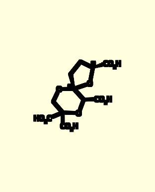 O=C(O)C1OC(C(=O)O)(C(=O)O)CO[C@@]12CC[C@H](C(=O)O)O2